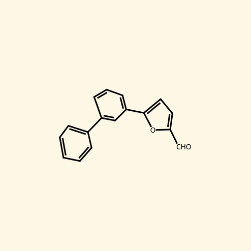 O=Cc1ccc(-c2cccc(-c3ccccc3)c2)o1